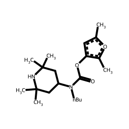 CCCCN(C(=O)Oc1cc(C)oc1C)C1CC(C)(C)NC(C)(C)C1